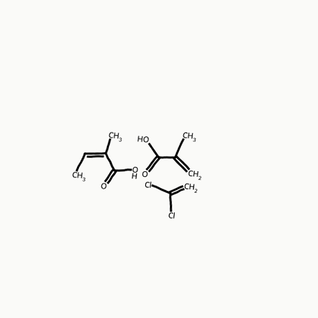 C=C(C)C(=O)O.C=C(Cl)Cl.CC=C(C)C(=O)O